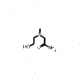 CN(CCO)CC(N)=O